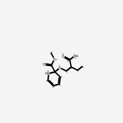 CCC(COC1(C(=O)OC)C=CC=CN1)C(=O)O